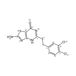 Nc1nc2[nH]c(SCc3ccc(Cl)c(Cl)c3)nc(=O)c2s1